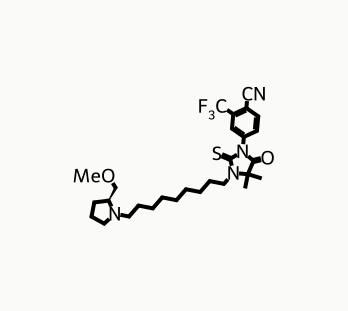 COC[C@@H]1CCCN1CCCCCCCCCN1C(=S)N(c2ccc(C#N)c(C(F)(F)F)c2)C(=O)C1(C)C